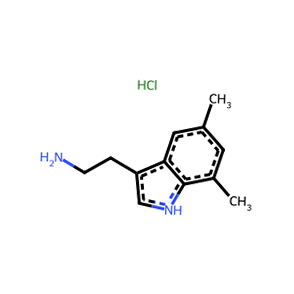 Cc1cc(C)c2[nH]cc(CCN)c2c1.Cl